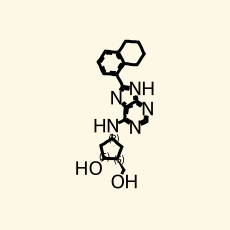 OC[C@@H]1C[C@@H](Nc2ncnc3[nH]c(-c4cccc5c4CCCC5)nc23)C[C@@H]1O